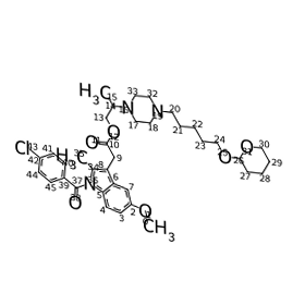 COc1ccc2c(c1)c(CC(=O)OCC(C)N1CCN(CCCCCOC3CCCCO3)CC1)c(C)n2C(=O)c1ccc(Cl)cc1